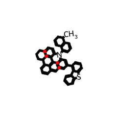 CC1CC=Cc2c1cccc2N(c1cccc(-c2cccc3sc4ccccc4c23)c1)c1ccccc1-c1cccc2cccc(C3CCCCC3)c12